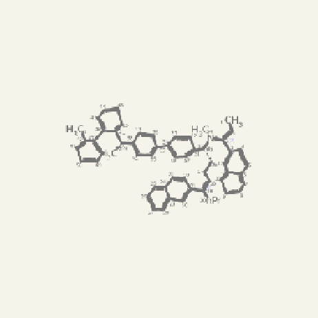 C/C=C(/c1ccc2ccccc2c1)N(C)[C@H](CC/C=C(/CCC)c1ccc2ccccc2c1)c1ccc(-c2ccc([C@@H](C)c3ccccc3-c3ccccc3C)cc2)cc1